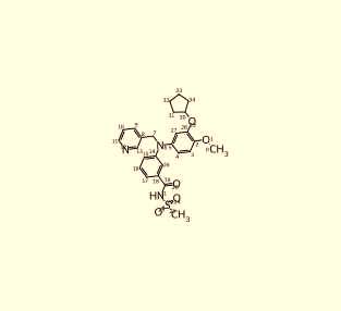 COc1ccc(N(Cc2cccnc2)c2cccc(C(=O)NS(C)(=O)=O)c2)cc1OC1CCCC1